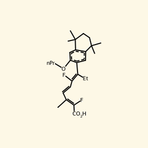 CCCOc1cc2c(cc1C(CC)=C(F)C=CC(C)=C(F)C(=O)O)C(C)(C)CCC2(C)C